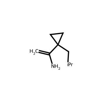 C=C(N)C1(CC(C)C)CC1